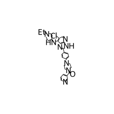 CCN1CCC(Nc2c(Cl)cnc3[nH]c(-c4ccc(N5CCN(C(=O)c6cccnc6)CC5)cc4)nc23)CC1